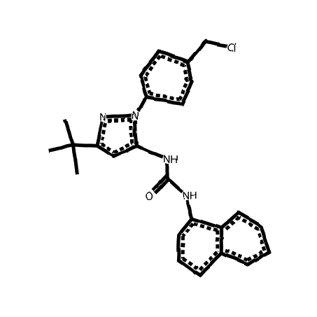 CC(C)(C)c1cc(NC(=O)Nc2cccc3ccccc23)n(-c2ccc(CCl)cc2)n1